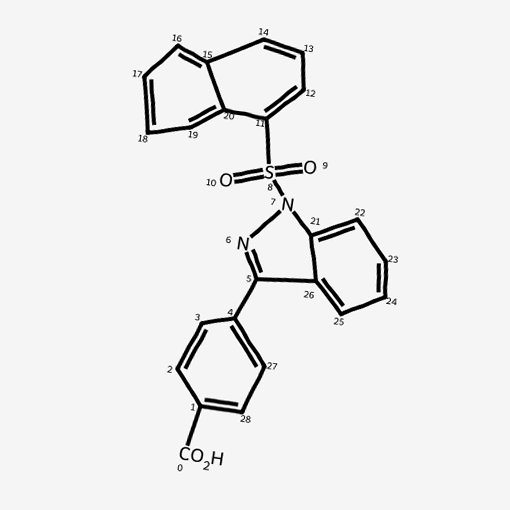 O=C(O)c1ccc(-c2nn(S(=O)(=O)c3cccc4ccccc34)c3ccccc23)cc1